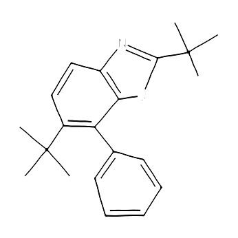 CC(C)(C)c1nc2ccc(C(C)(C)C)c(-c3ccccc3)c2s1